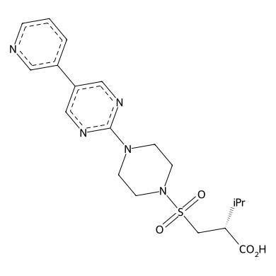 CC(C)[C@@H](CS(=O)(=O)N1CCN(c2ncc(-c3cccnc3)cn2)CC1)C(=O)O